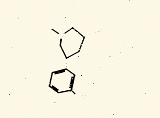 COc1cccc([C@H]2C[C@@H](N)CN(C)C2)c1